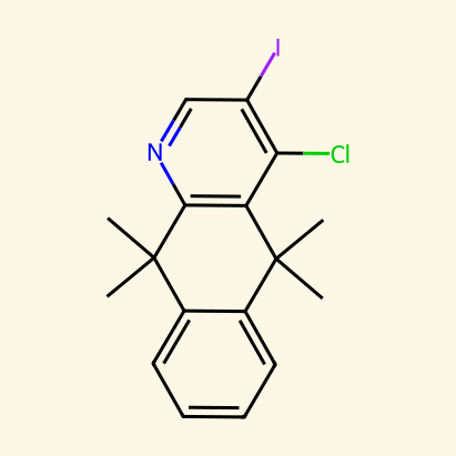 CC1(C)c2ccccc2C(C)(C)c2c1ncc(I)c2Cl